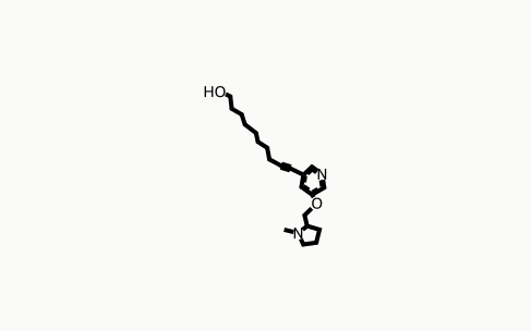 CN1CCCC1COc1cncc(C#CCCCCCCCCO)c1